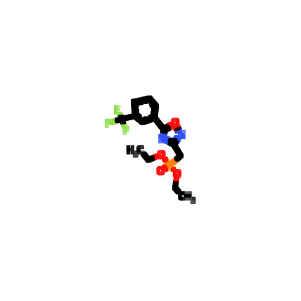 CCOP(=O)(Cc1noc(-c2cccc(C(F)(F)F)c2)n1)OCC